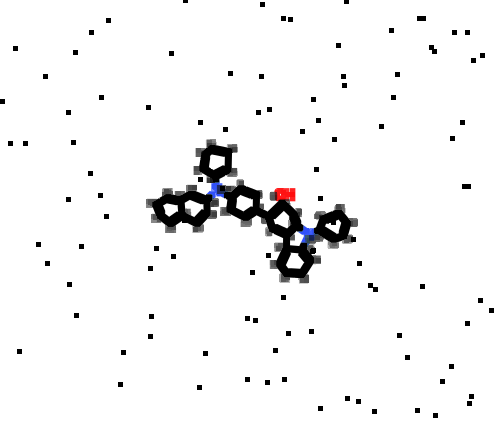 Oc1cc2c(cc1-c1ccc(N(c3ccccc3)c3ccc4ccccc4c3)cc1)c1ccccc1n2-c1ccccc1